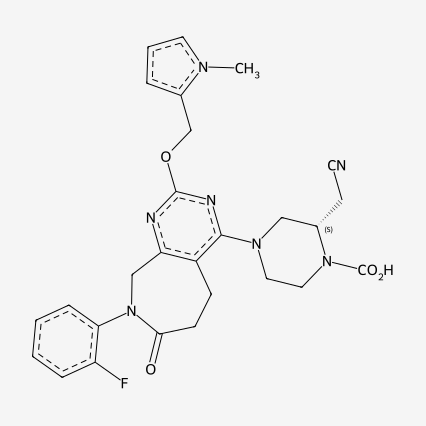 Cn1cccc1COc1nc2c(c(N3CCN(C(=O)O)[C@@H](CC#N)C3)n1)CCC(=O)N(c1ccccc1F)C2